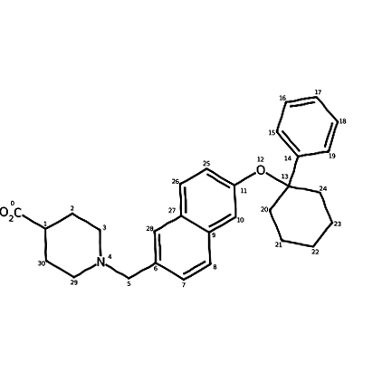 O=C(O)C1CCN(Cc2ccc3cc(OC4(c5ccccc5)CCCCC4)ccc3c2)CC1